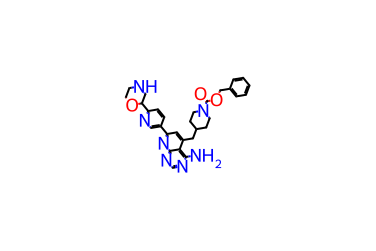 Nc1ncnc2nc(-c3ccc(C4CNCCO4)nc3)cc(CC3CCN(C(=O)OCc4ccccc4)CC3)c12